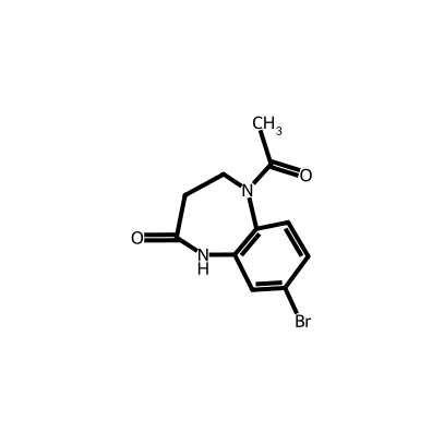 CC(=O)N1CCC(=O)Nc2cc(Br)ccc21